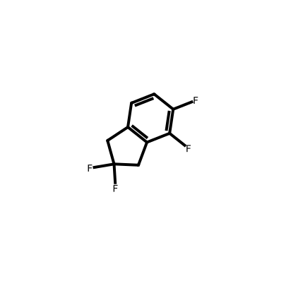 Fc1ccc2c(c1F)CC(F)(F)C2